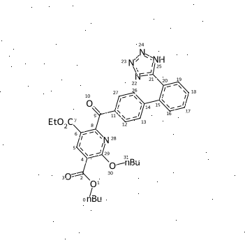 CCCCOC(=O)c1cc(C(=O)OCC)c(C(=O)c2ccc(-c3ccccc3-c3nnn[nH]3)cc2)nc1OCCCC